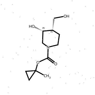 CC1(OC(=O)N2CC[C@@H](CO)[C@@H](O)C2)CC1